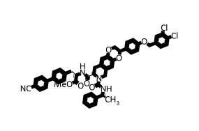 COC(=O)[C@H](Cc1ccc(-c2ccc(C#N)cc2)cc1)NC(=O)[C@@H]1Cc2cc3c(cc2CN1C(=O)N[C@@H](C)c1ccccc1)OC(c1ccc(OCc2ccc(Cl)c(Cl)c2)cc1)CO3